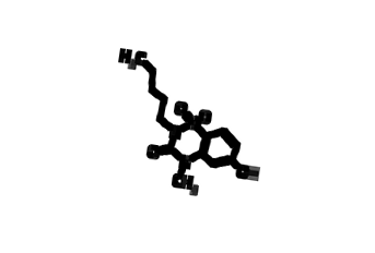 CCCCCN1C(=O)N(C)c2cc(O)ccc2S1(=O)=O